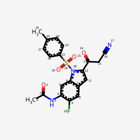 CC(=O)Nc1cc2c(cc1F)cc(C(=O)CC#N)n2S(=O)(=O)c1ccc(C)cc1